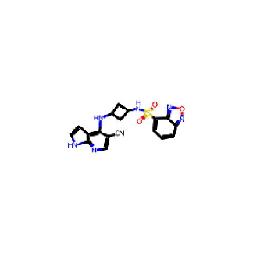 N#Cc1cnc2[nH]ccc2c1NC1CC(NS(=O)(=O)c2cccc3nonc23)C1